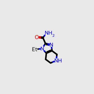 CCn1c(C(N)=O)nc2c1CCNC2